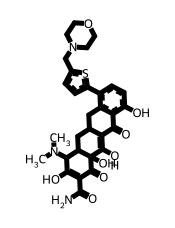 CN(C)C1C(O)=C(C(N)=O)C(=O)C2(O)C(O)=C3C(=O)c4c(O)ccc(-c5ccc(CN6CCOCC6)s5)c4CC3CC12